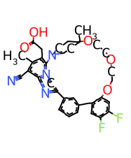 Cc1c(CC(=O)O)c2n3cc(nc3c1C#N)-c1cccc(c1)-c1cc(F)c(F)cc1OCCOCCOC1(C)CCN2CC1